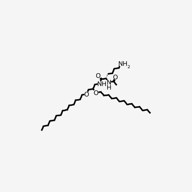 CCCCCCCCCCCCCCOCC(CNC(=O)[C@H](CCCCN)NC(C)=O)OCCCCCCCCCCCCCC